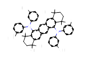 Cc1cccc(N(c2cccc(C)c2)c2c3c(cc4cc5c(N(c6cccc(C)c6)c6cccc(C)c6)c6c(cc5cc24)C(C)(C)CCC6(C)C)C(C)(C)CCC3(C)C)c1